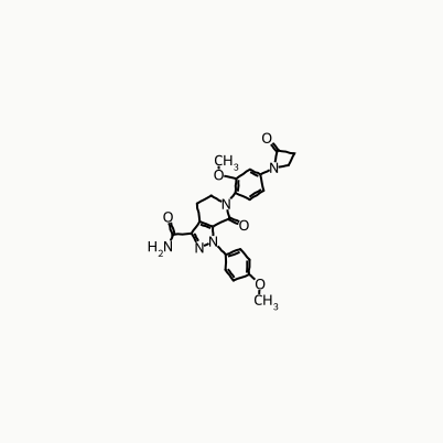 COc1ccc(-n2nc(C(N)=O)c3c2C(=O)N(c2ccc(N4CCC4=O)cc2OC)CC3)cc1